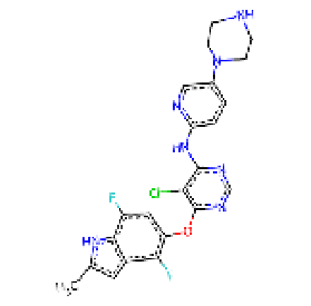 Cc1cc2c(F)c(Oc3ncnc(Nc4ccc(N5CCNCC5)cn4)c3Cl)cc(F)c2[nH]1